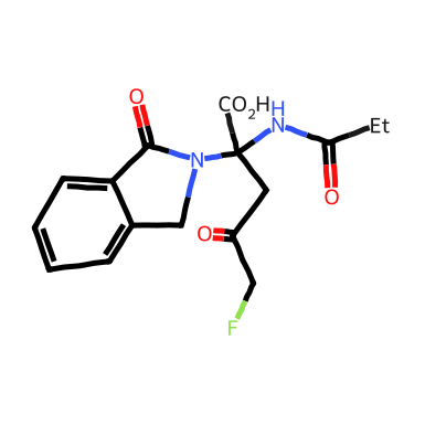 CCC(=O)NC(CC(=O)CF)(C(=O)O)N1Cc2ccccc2C1=O